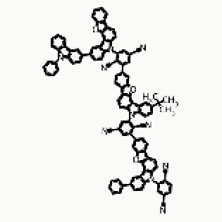 CC(C)(C)c1ccc2c(c1)c1c3oc4cc(-c5cc(C#N)cc(-n6c7ccc(-c8ccc9c(c8)c8ccccc8n9-c8ccccc8)cc7c7c8oc9ccccc9c8ccc76)c5C#N)ccc4c3ccc1n2-c1cc(C#N)cc(-c2ccc3c(c2)oc2c3ccc3c2c2cc(-c4ccccc4)ccc2n3-c2cc(C#N)ccc2C#N)c1C#N